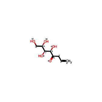 C=CCC(=O)[C@H](O)[C@@H](O)[C@H](O)CO